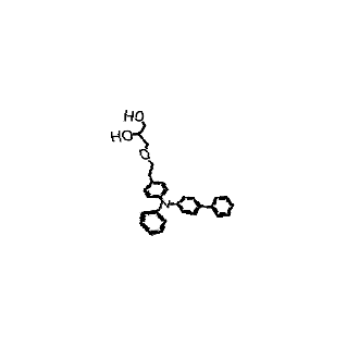 OCC(O)COCCc1ccc(N(c2ccccc2)c2ccc(-c3ccccc3)cc2)cc1